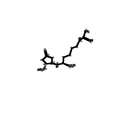 N=C(N)NCCCC[C@H](NN1CC(=O)C[C@H]1C(=O)O)C(=O)O